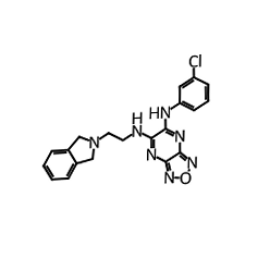 Clc1cccc(Nc2nc3nonc3nc2NCCN2Cc3ccccc3C2)c1